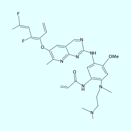 C=CC(=O)Nc1cc(Nc2ncc3cc(O/C(C=C)=C(F)/C=C(\C)F)c(C)nc3n2)c(OC)cc1N(C)CCN(C)C